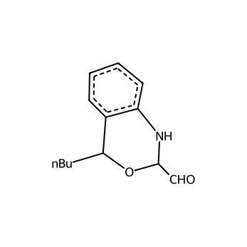 CCCCC1OC(C=O)Nc2ccccc21